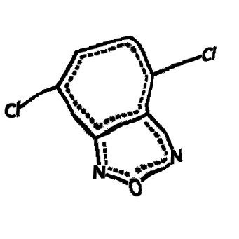 Clc1ccc(Cl)c2nonc12